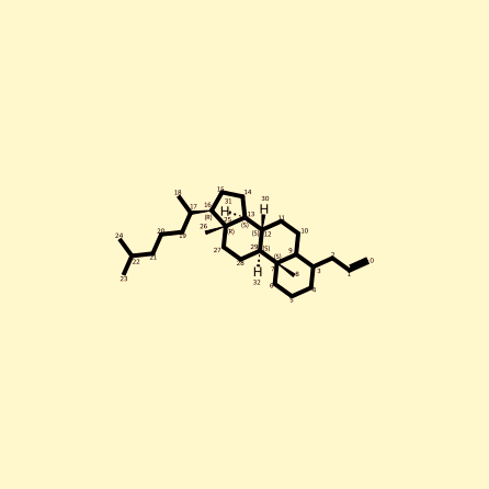 C=CCC1CCC[C@@]2(C)C1CC[C@H]1[C@@H]3CC[C@H](C(C)CCCC(C)C)[C@@]3(C)CC[C@@H]12